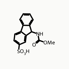 COC(=O)NC1c2ccccc2-c2ccc(S(=O)(=O)O)cc21